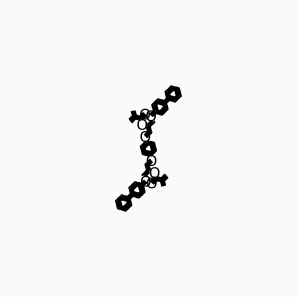 C=C(C)C(=O)OC(COc1ccc(OCC(COc2ccc(-c3ccccc3)cc2)OC(=O)C(=C)C)cc1)COc1ccc(-c2ccccc2)cc1